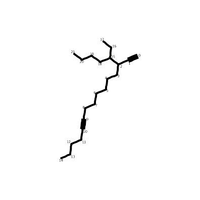 C#C[C](CCCCCCC#CCCCC)C(CC)CCCC